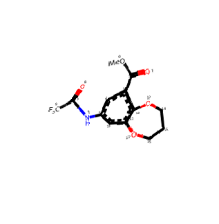 COC(=O)c1cc(NC(=O)C(F)(F)F)cc2c1OCCCO2